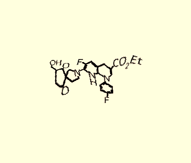 CCOC(=O)C1=CN(c2ccc(F)cc2)C2NC(N3CCC4(C3)C(=O)CC(CO)C4=O)=C(F)C=C2C1